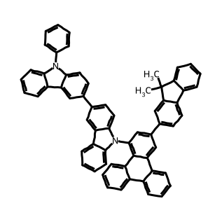 CC1(C)c2ccccc2-c2ccc(-c3cc(-n4c5ccccc5c5cc(-c6ccc7c(c6)c6ccccc6n7-c6ccccc6)ccc54)c4c5ccccc5c5ccccc5c4c3)cc21